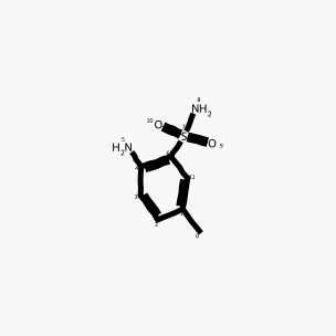 Cc1ccc(N)c(S(N)(=O)=O)c1